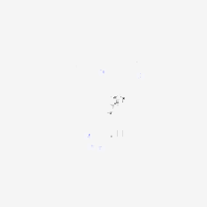 CCCCC/C=C\C/C=C\C/C=C\CCCCCCCCC(=O)OC[C@@H](COC(=O)CCCCCCC/C=C\CCCCC)OC(=O)CCCCCCC/C=C\CCCCCCC